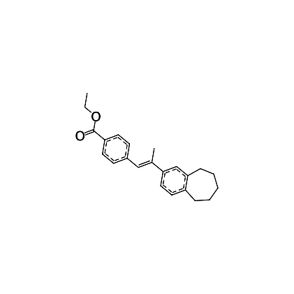 CCOC(=O)c1ccc(C=C(C)c2ccc3c(c2)CCCCC3)cc1